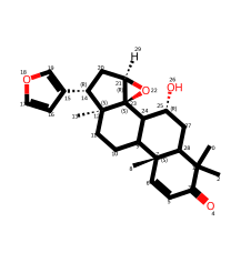 CC1(C)C(=O)C=C[C@]2(C)C3CC[C@@]4(C)[C@H](c5ccoc5)C[C@H]5O[C@]54C3[C@H](O)CC12